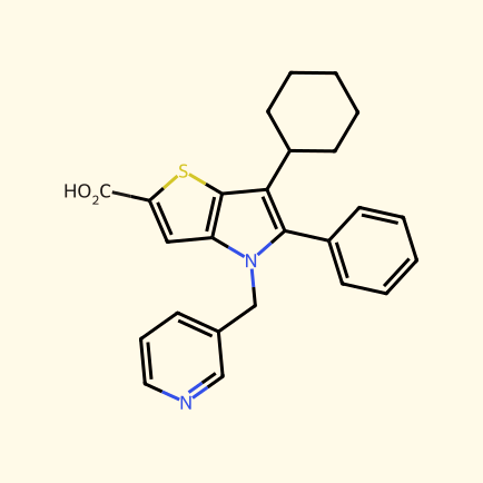 O=C(O)c1cc2c(s1)c(C1CCCCC1)c(-c1ccccc1)n2Cc1cccnc1